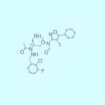 CC(=O)N(NCc1cccc(F)c1Cl)[C@@H](CN)CON(C=O)c1noc(-c2ccccc2)c1I